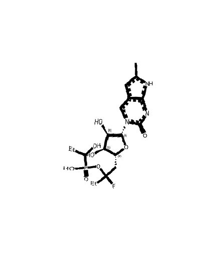 CCC(O)P(=O)(O)OC(F)(CC)C[C@H]1O[C@@H](n2cc3cc(C)[nH]c3nc2=O)[C@H](O)[C@@H]1O